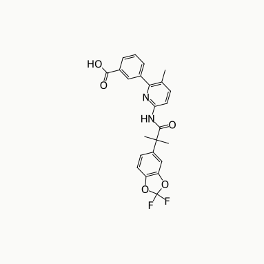 Cc1ccc(NC(=O)C(C)(C)c2ccc3c(c2)OC(F)(F)O3)nc1-c1cccc(C(=O)O)c1